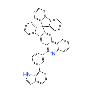 c1cc(-c2nc3ccccc3c3cc4c(cc23)-c2ccccc2C42c3ccccc3-c3ccccc32)cc(-c2cccc3cc[nH]c23)c1